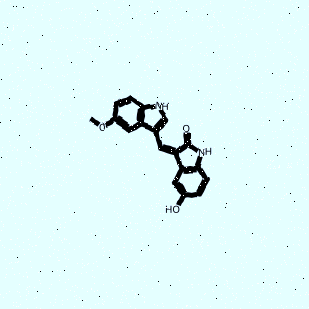 COc1ccc2[nH]cc(C=C3C(=O)Nc4ccc(O)cc43)c2c1